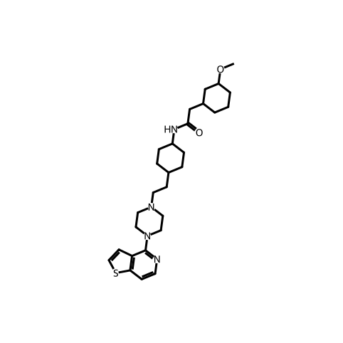 COC1CCCC(CC(=O)NC2CCC(CCN3CCN(c4nccc5sccc45)CC3)CC2)C1